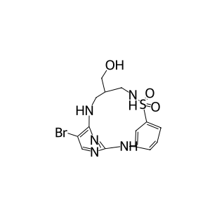 O=S1(=O)NCC(CO)CNc2nc(ncc2Br)Nc2cccc1c2